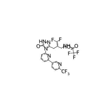 NCC(Cc1n[nH]c(=O)n1-c1cccc(-c2ccc(C(F)(F)F)nc2)n1)=C(F)F.O=C(O)C(F)(F)F